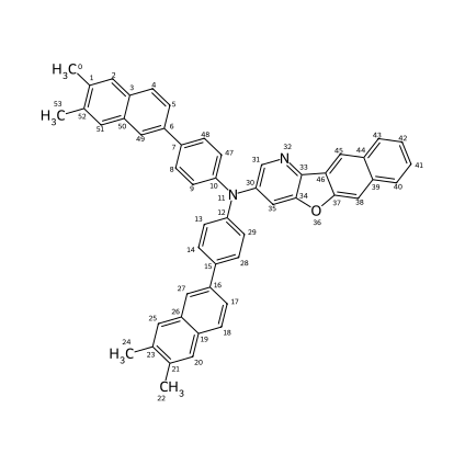 Cc1cc2ccc(-c3ccc(N(c4ccc(-c5ccc6cc(C)c(C)cc6c5)cc4)c4cnc5c(c4)oc4cc6ccccc6cc45)cc3)cc2cc1C